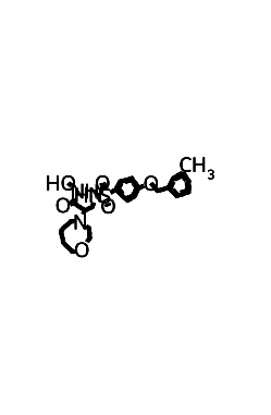 Cc1cccc(COc2ccc(S(=O)(=O)NCC(C(=O)NO)N3CCCCOCC3)cc2)c1